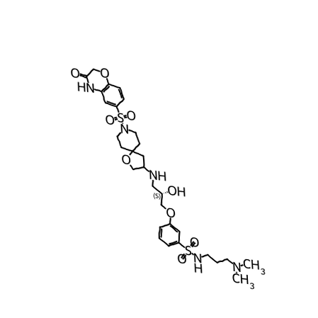 CN(C)CCCNS(=O)(=O)c1cccc(OC[C@@H](O)CNC2COC3(CCN(S(=O)(=O)c4ccc5c(c4)NC(=O)CO5)CC3)C2)c1